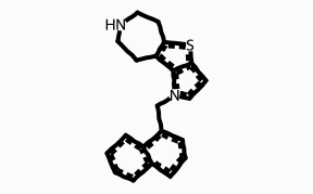 c1ccc2c(Cn3ccc4sc5c(c43)CCNCC5)cccc2c1